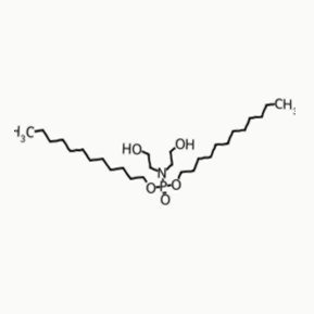 CCCCCCCCCCCCOP(=O)(OCCCCCCCCCCCC)N(CCO)CCO